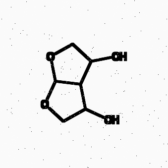 OC1COC2OCC(O)C12